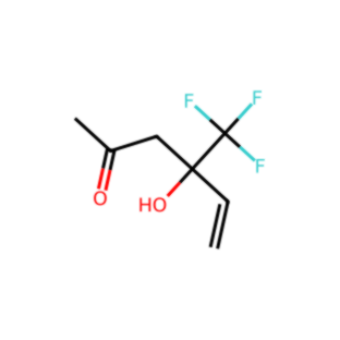 C=CC(O)(CC(C)=O)C(F)(F)F